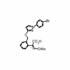 CO/N=C(\C(=O)O)c1ccccc1CSc1ccn(-c2ccc(Br)cc2)n1